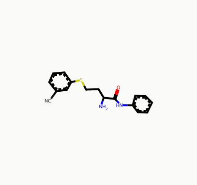 N#Cc1cccc(SCCC(N)C(=O)Nc2ccccc2)c1